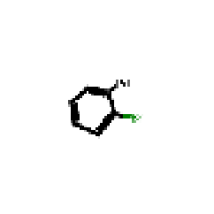 Brc1cccc[c]1[Pd]